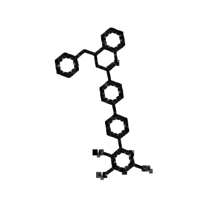 Cc1nc(C)c(C)c(-c2ccc(-c3ccc(C4=Nc5ccccc5C(Cc5ccccc5)C4)cc3)cc2)n1